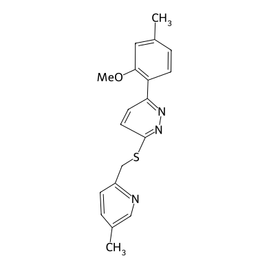 COc1cc(C)ccc1-c1ccc(SCc2ccc(C)cn2)nn1